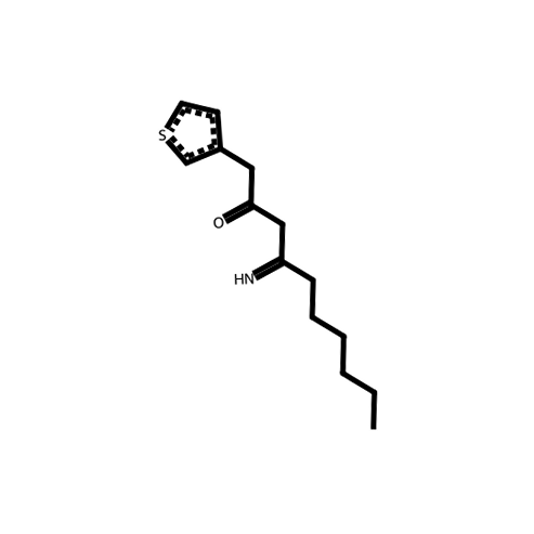 CCCCCCC(=N)CC(=O)Cc1ccsc1